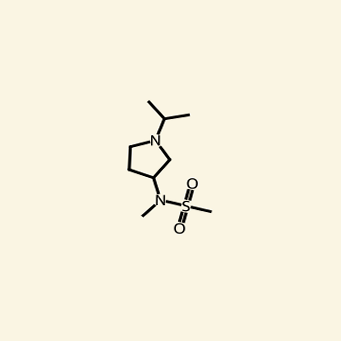 CC(C)N1CCC(N(C)S(C)(=O)=O)C1